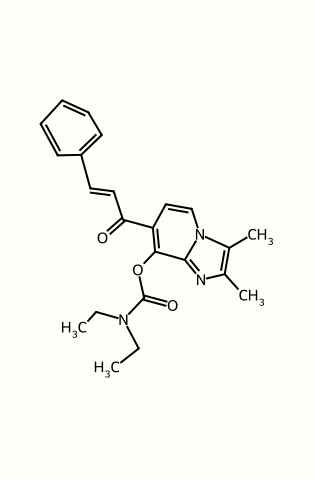 CCN(CC)C(=O)Oc1c(C(=O)/C=C/c2ccccc2)ccn2c(C)c(C)nc12